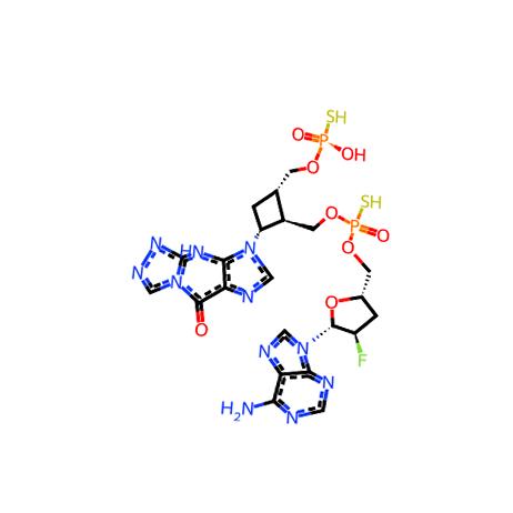 Nc1ncnc2c1ncn2[C@@H]1O[C@H](COP(=O)(S)OC[C@@H]2[C@@H](CO[P@@](=O)(O)S)C[C@H]2n2cnc3c(=O)n4cnnc4[nH]c32)C[C@H]1F